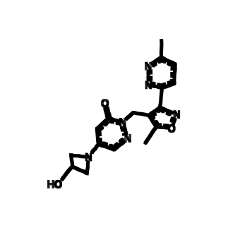 Cc1ccc(-c2noc(C)c2Cn2ncc(N3CC(O)C3)cc2=O)nn1